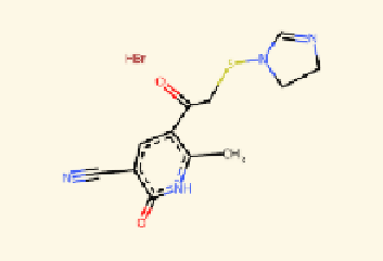 Br.Cc1[nH]c(=O)c(C#N)cc1C(=O)CSN1C=NCC1